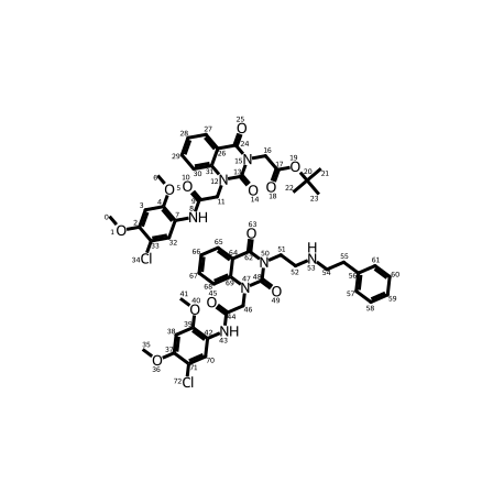 COc1cc(OC)c(NC(=O)Cn2c(=O)n(CC(=O)OC(C)(C)C)c(=O)c3ccccc32)cc1Cl.COc1cc(OC)c(NC(=O)Cn2c(=O)n(CCNCCc3ccccc3)c(=O)c3ccccc32)cc1Cl